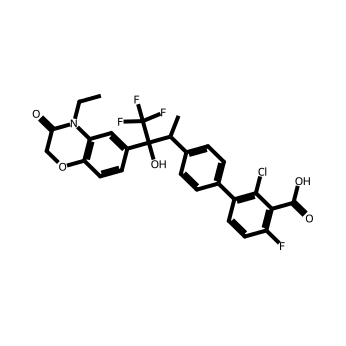 CCN1C(=O)COc2ccc(C(O)(C(C)c3ccc(-c4ccc(F)c(C(=O)O)c4Cl)cc3)C(F)(F)F)cc21